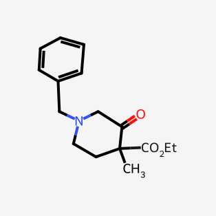 CCOC(=O)C1(C)CCN(Cc2ccccc2)CC1=O